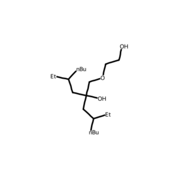 CCCCC(CC)CC(O)(COCCO)CC(CC)CCCC